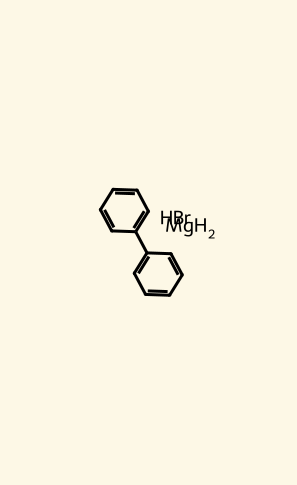 Br.[MgH2].c1ccc(-c2ccccc2)cc1